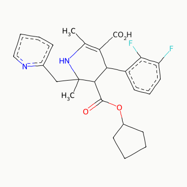 CC1=C(C(=O)O)C(c2cccc(F)c2F)C(C(=O)OC2CCCC2)C(C)(Cc2ccccn2)N1